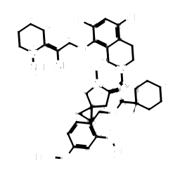 COc1ccc(COC(=O)[C@@]2(C)CCCC[C@H]2C(=O)N2CCc3c(Cl)cc(F)c(OC/C(N)=C4\CCCCN4N)c3[C@H]2CN2CC3(CC3)CC2=O)c(OC)c1